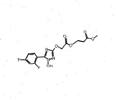 COC(=O)CCOC(=O)COc1nc(-c2ccc(F)cc2F)n(O)n1